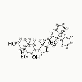 CC[C@H]1[C@@H](O)C2C3CC[C@H]([C@H](C)CC(C)C(O)(c4ccccc4)c4ccccc4)[C@@]3(C)CCC2[C@@]2(C)CC[C@@H](O)C[C@@H]12